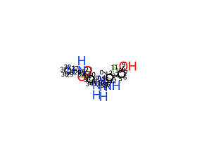 Cc1cc(-c2cccc(O)c2F)cc2c1N=C(Nc1ccc(S(=O)(=O)NCCN3CCCC3)cc1)NN2